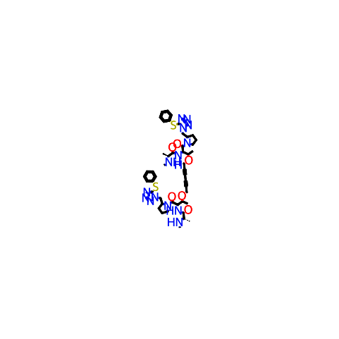 CN[C@@H](C)C(=O)NC(C(=O)N1CCCC1Cn1nnnc1Sc1ccccc1)C(C)OCC#CC#CCOC(C)C(NC(=O)[C@H](C)NC)C(=O)N1CCCC1Cn1nnnc1Sc1ccccc1